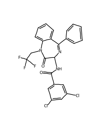 O=C(NC1N=C(c2ccccc2)c2ccccc2N(CC(F)(F)F)C1=O)c1cc(Cl)cc(Cl)c1